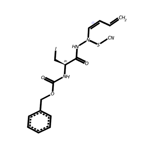 C=C/C=C\N(NC(=O)[C@H](CI)NC(=O)OCc1ccccc1)SC#N